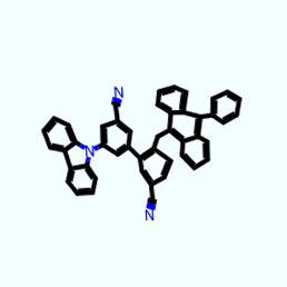 N#Cc1cc(-c2cc(C#N)ccc2Cc2c3ccccc3c(-c3ccccc3)c3ccccc23)cc(-n2c3ccccc3c3ccccc32)c1